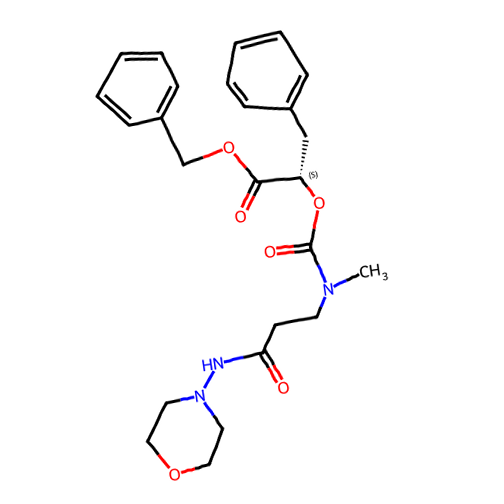 CN(CCC(=O)NN1CCOCC1)C(=O)O[C@@H](Cc1ccccc1)C(=O)OCc1ccccc1